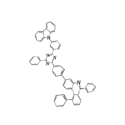 c1ccc(-c2nc(-c3ccc(-c4ccc5c(c4)nc(-c4ccccc4)c4cccc(-c6ccccc6)c45)cc3)nc(-c3cccc(-n4c5ccccc5c5ccccc54)c3)n2)cc1